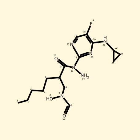 CCCCCC(CN(O)C=O)C(=O)N(N)c1ncc(F)c(NC2CC2)n1